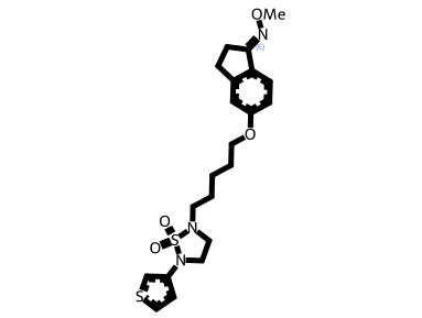 CO/N=C1\CCc2cc(OCCCCCN3CCN(c4ccsc4)S3(=O)=O)ccc21